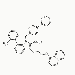 Cc1ccccc1-c1cccc2c(CCCOc3cccc4ccccc34)c(C(=O)O)n(Cc3ccc(-c4ccccc4)cc3)c12